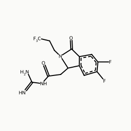 N=C(N)NC(=O)CC1c2cc(F)c(F)cc2C(=O)N1CCC(F)(F)F